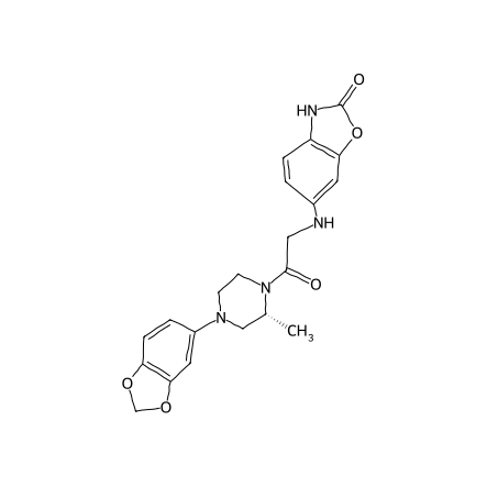 C[C@@H]1CN(c2ccc3c(c2)OCO3)CCN1C(=O)CNc1ccc2[nH]c(=O)oc2c1